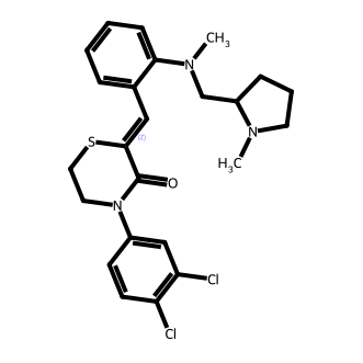 CN(CC1CCCN1C)c1ccccc1/C=C1\SCCN(c2ccc(Cl)c(Cl)c2)C1=O